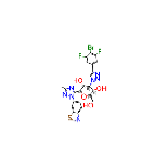 Cc1nc([C@@H]2O[C@H](CO)[C@H](O)[C@H](n3cc(-c4cc(F)c(Br)c(F)c4)nn3)[C@H]2O)n(-c2ccc3ncsc3c2)n1